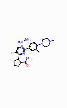 Cc1cc(-c2ncc(F)c(C3CCCC3C(N)=O)n2)ccc1N1CCN(C)CC1.NN